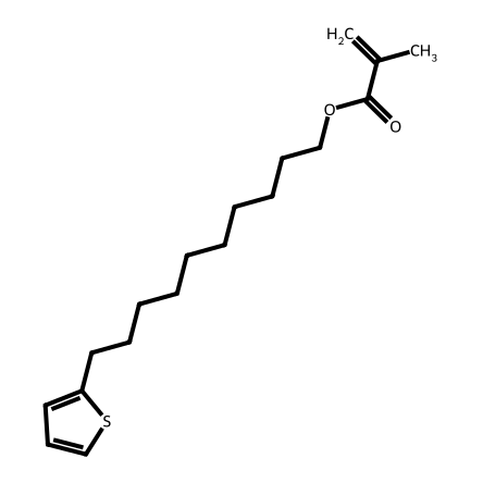 C=C(C)C(=O)OCCCCCCCCCCc1cccs1